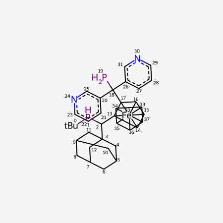 CC(C)(C)PC(C12CC3CC(CC(C3)C1)C2)[C]12[CH]3[CH]4[CH]5[C]1(C(P)(c1cccnc1)c1cccnc1)[Fe]43521678[CH]2[CH]1[CH]6[CH]7[CH]28